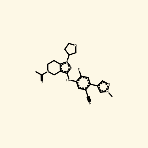 CC(=O)N1CCc2c(c(Nc3cc(C#N)c(-c4cnn(C)c4)cc3F)nn2C2CCOC2)C1